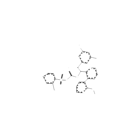 COc1ncccc1-c1cccnc1C(Cc1cc(F)cc(F)c1)NC(=O)NS(=O)(=O)c1ccccc1C